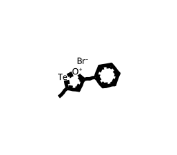 Cc1cc(-c2ccccc2)[o+][te]1.[Br-]